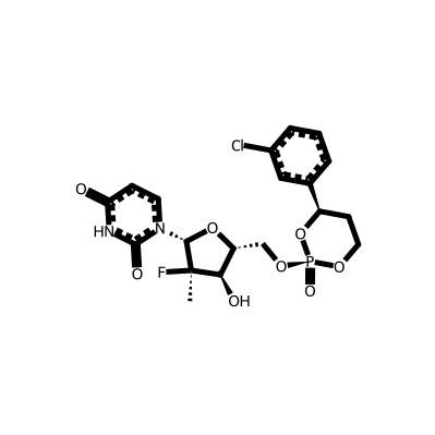 C[C@@]1(F)[C@H](O)[C@@H](CO[P@]2(=O)OCC[C@H](c3cccc(Cl)c3)O2)O[C@H]1n1ccc(=O)[nH]c1=O